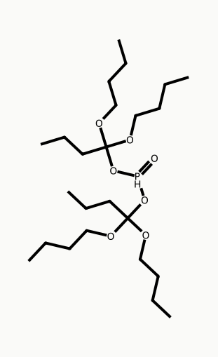 CCCCOC(CCC)(OCCCC)O[PH](=O)OC(CCC)(OCCCC)OCCCC